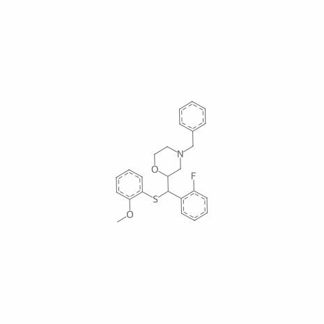 COc1ccccc1SC(c1ccccc1F)C1CN(Cc2ccccc2)CCO1